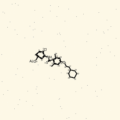 CC(=O)Oc1ccc(Cl)c(NC(=S)c2c(C)cc(OCCC3CCCCC3)cc2C)c1